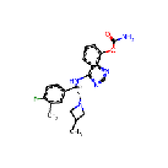 CC1CN(C[C@@H](Nc2ncnc3c(OC(N)=O)cccc23)c2ccc(F)c(C(F)(F)F)c2)C1